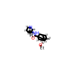 CCOC[C@]12CC3CC(C(=O)N[C@H]4CN5CCC4CC5)(C[C@](C)(C3)C1)C2